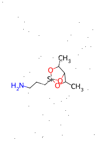 CC1O[Si]2(CCCN)OC(C)C1O2